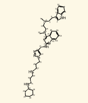 CN(CCc1c[nH]c2ccccc12)CCN(C)c1nc(NCc2cn(CCCNCCCNC3CCCCC3)nn2)nc2ccccc12